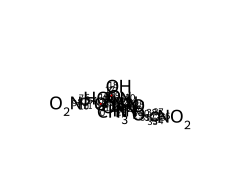 CC(OCCc1ccc([N+](=O)[O-])cc1)O[C@@H]1[C@H](O)[C@@H](CO)O[C@H]1n1cnc2c(NC(=O)OCCc3ccc([N+](=O)[O-])cc3)ncnc21